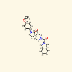 O=C(N1CCC2(CC1)CCN(c1ccc(OC(F)(F)F)cc1)C2=O)N1Cc2ccccc2C1